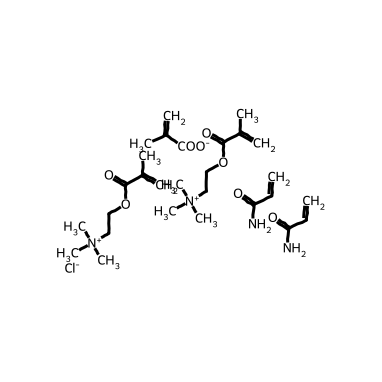 C=C(C)C(=O)OCC[N+](C)(C)C.C=C(C)C(=O)OCC[N+](C)(C)C.C=C(C)C(=O)[O-].C=CC(N)=O.C=CC(N)=O.[Cl-]